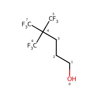 OCCCC(C(F)(F)F)(C(F)(F)F)C(F)(F)F